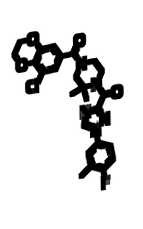 Cc1cc(-n2cnc(C(=O)N3CCN(C(=O)c4cc(Cl)c5c(c4)OCCO5)CC3(C)C)n2)ccc1F